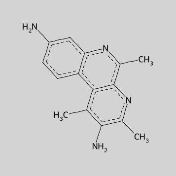 Cc1nc2c(C)nc3cc(N)ccc3c2c(C)c1N